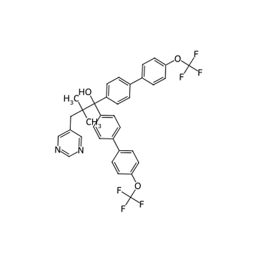 CC(C)(Cc1cncnc1)C(O)(c1ccc(-c2ccc(OC(F)(F)F)cc2)cc1)c1ccc(-c2ccc(OC(F)(F)F)cc2)cc1